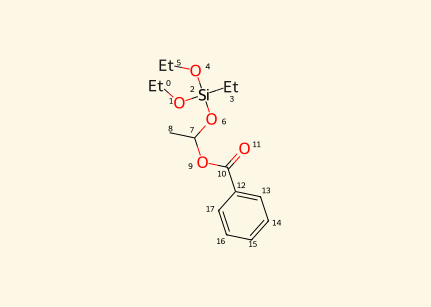 CCO[Si](CC)(OCC)OC(C)OC(=O)c1ccccc1